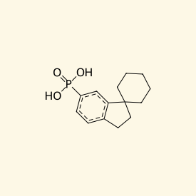 O=P(O)(O)c1ccc2c(c1)C1(CCCCC1)CC2